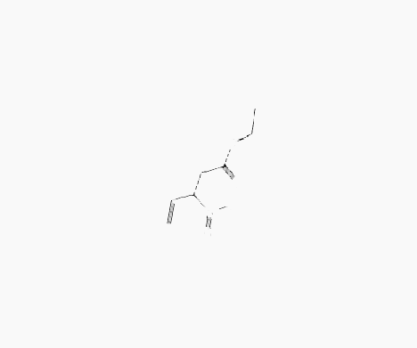 C=CC(CC(=O)OCC)[N+](=O)[O-]